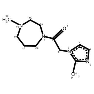 Cc1nccn1CC(=O)N1CCCN(C)CC1